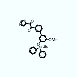 COc1cc(O[Si](c2ccccc2)(c2ccccc2)C(C)(C)C)cc(-c2cccc(C(=O)C(=O)c3cncs3)c2)c1